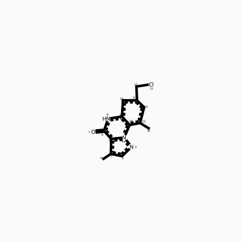 Cc1cnn2c1c(=O)[nH]c1cc(CCl)cc(C)c12